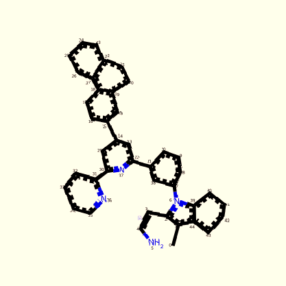 Cc1c(/C=C\N)n(-c2cccc(-c3cc(-c4ccc5c(ccc6ccccc65)c4)cc(-c4ccccn4)n3)c2)c2ccccc12